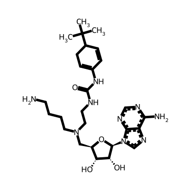 CC(C)(C)C1C=CC(NC(=O)NCCN(CCCCN)C[C@H]2O[C@@H](n3cnc4c(N)ncnc43)[C@H](O)[C@@H]2O)=CC1